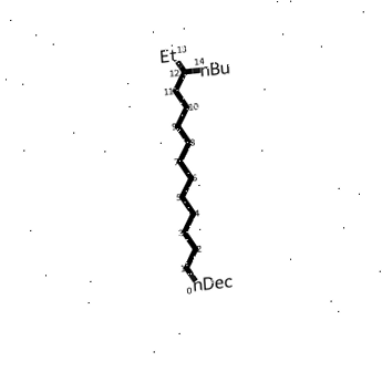 [CH2]CCCCCCCCCCCCCCCCCCCCC(CC)CCC[CH2]